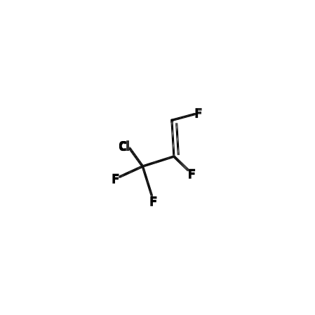 FC=C(F)C(F)(F)Cl